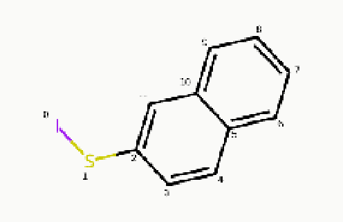 ISc1ccc2ccccc2c1